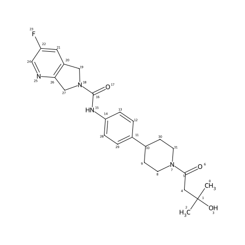 CC(C)(O)CC(=O)N1CCC(c2ccc(NC(=O)N3Cc4cc(F)cnc4C3)cc2)CC1